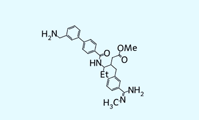 CCC(NC(=O)c1ccc(-c2cccc(CN)c2)cc1)C(CC(=O)OC)Cc1cccc(/C(N)=N\C)c1